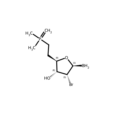 B[C@@H]1O[C@H](CCP(=C)(C)C)[C@@H](O)[C@H]1Br